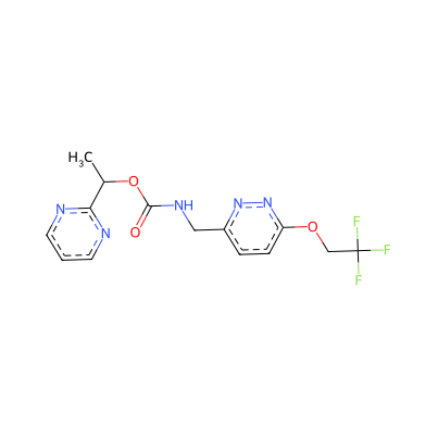 CC(OC(=O)NCc1ccc(OCC(F)(F)F)nn1)c1ncccn1